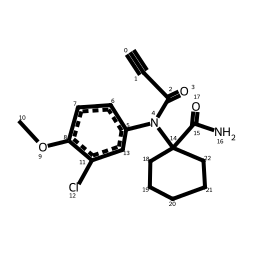 C#CC(=O)N(c1ccc(OC)c(Cl)c1)C1(C(N)=O)CCCCC1